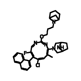 Cc1cc(Cl)c(-c2cccc3ccccc23)c(F)cnc(OCCCN2C3CCCC2C3)nc1N1CC2CCC(C1)N2